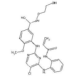 C=CC(=O)Nc1ccccc1Nc1nc(Nc2cc(C(O)NOCCO)ccc2OC)ncc1Cl